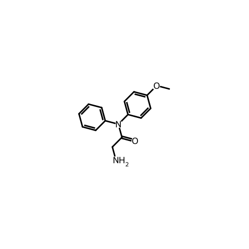 COc1ccc(N(C(=O)CN)c2ccccc2)cc1